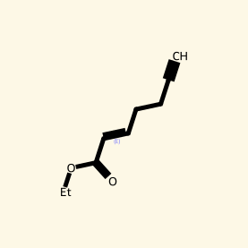 C#CCC/C=C/C(=O)OCC